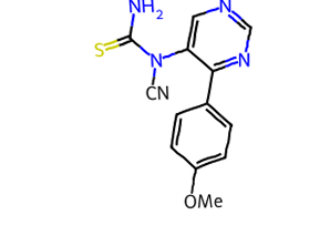 COc1ccc(-c2ncncc2N(C#N)C(N)=S)cc1